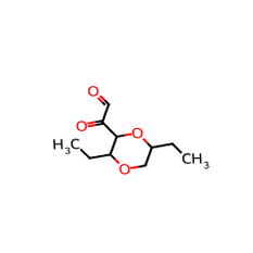 CCC1COC(CC)C(C(=O)C=O)O1